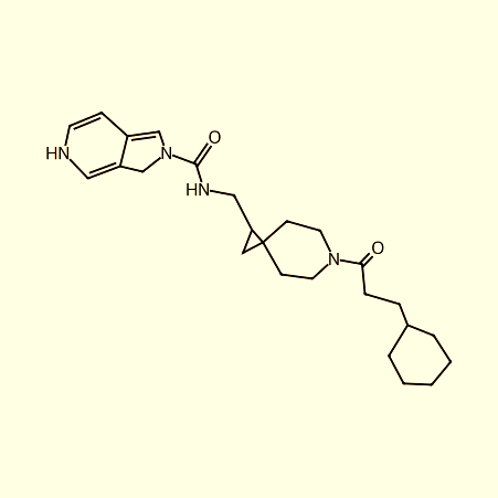 O=C(NCC1CC12CCN(C(=O)CCC1CCCCC1)CC2)N1C=C2C=CNC=C2C1